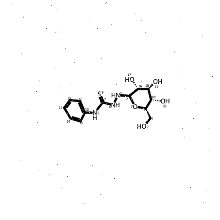 OC[C@H]1OC(NNC(=S)Nc2ccccc2)[C@H](O)[C@@H](O)[C@@H]1O